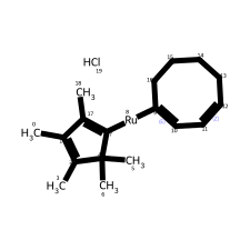 CC1=C(C)C(C)(C)[C]([Ru]/[C]2=C/C=C\CCCC2)=C1C.Cl